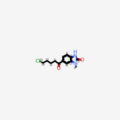 Cn1c(=O)[nH]c2ccc(C(=O)CCCCCl)cc21